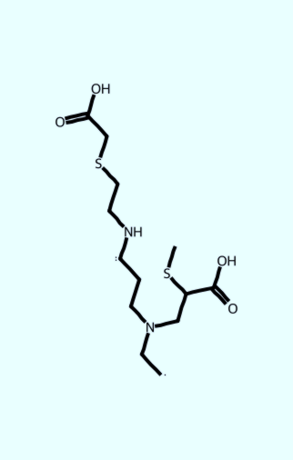 [CH2]CN(CC[C]NCCSCC(=O)O)CC(SC)C(=O)O